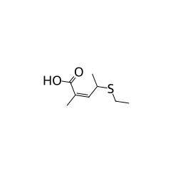 CCSC(C)C=C(C)C(=O)O